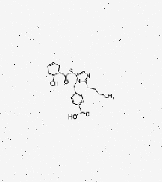 CCCCc1ncc(SC(=O)c2ccccc2O)n1Cc1ccc(C(=O)O)cc1